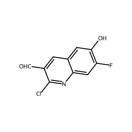 O=Cc1cc2cc(O)c(F)cc2nc1Cl